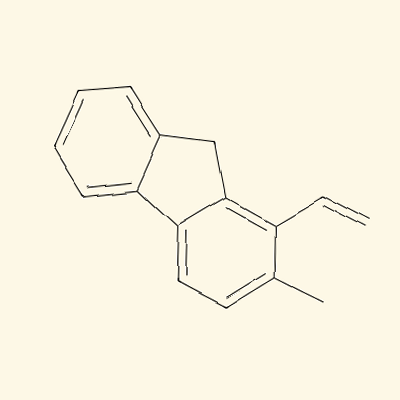 C=Cc1c(C)ccc2c1Cc1ccccc1-2